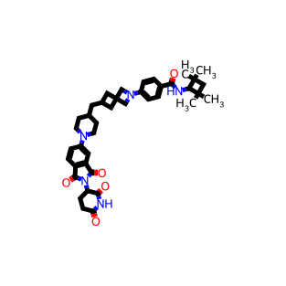 CC1(C)CC(C)(C)C1NC(=O)c1ccc(N2CC3(CC(CC4CCN(c5ccc6c(c5)C(=O)N(C5CCC(=O)NC5=O)C6=O)CC4)C3)C2)cc1